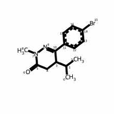 CC(C)C1CC(=O)N(C)N=C1c1ccc(Br)cc1